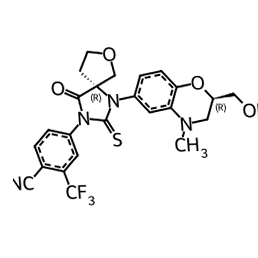 CN1C[C@H](CO)Oc2ccc(N3C(=S)N(c4ccc(C#N)c(C(F)(F)F)c4)C(=O)[C@]34CCOC4)cc21